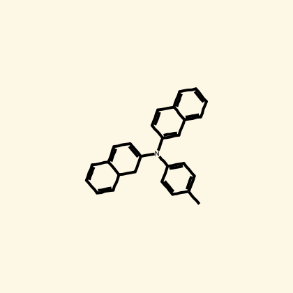 Cc1ccc(N(C2=CC=C3C=CC=CC3C2)c2ccc3ccccc3c2)cc1